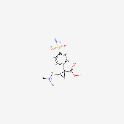 COC(=O)C1(c2ccc(S(N)(=O)=O)cc2)CC1CN(C)C